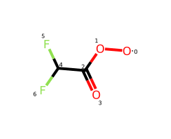 [O]OC(=O)C(F)F